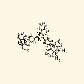 CC1(C)c2ccccc2N(c2ccc(-c3nc(-c4ccc(N5c6ccccc6Oc6ccccc65)cc4)nc4c3ccc3ccccc34)cc2)c2ccccc21